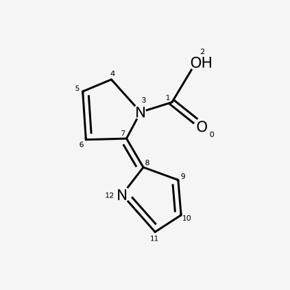 O=C(O)N1CC=CC1=C1C=CC=N1